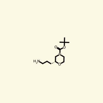 CC(C)(C)OC(=O)N1CCO[C@H](CCCN)C1